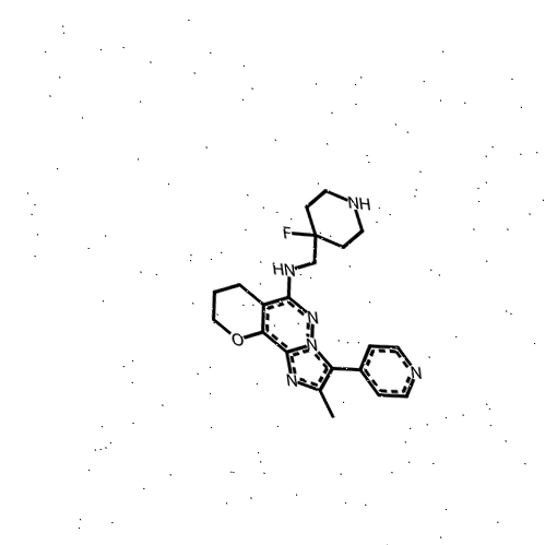 Cc1nc2c3c(c(NCC4(F)CCNCC4)nn2c1-c1ccncc1)CCCO3